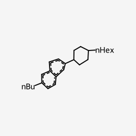 CCCCCCC1CCC(c2ccc3cc(CCCC)ccc3c2)CC1